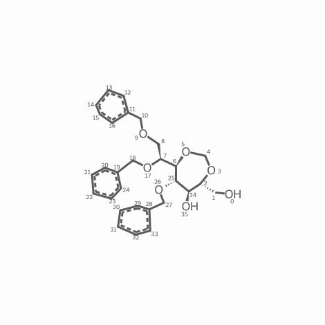 OC[C@H]1OCO[C@H]([C@H](COCc2ccccc2)OCc2ccccc2)[C@@H](OCc2ccccc2)[C@@H]1O